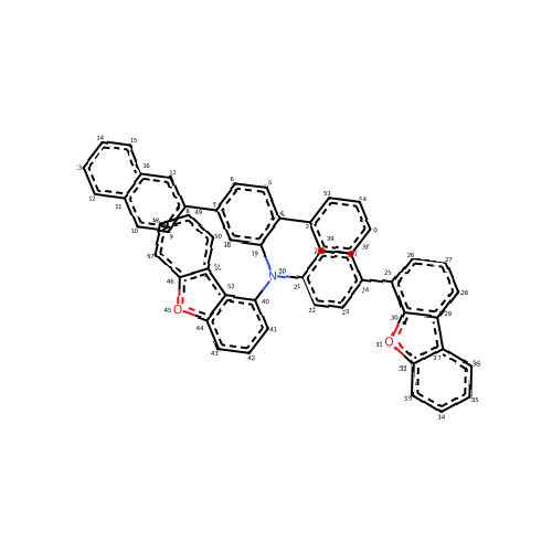 c1ccc(-c2ccc(-c3ccc4ccccc4c3)cc2N(c2ccc(-c3cccc4c3oc3ccccc34)cc2)c2cccc3oc4ccccc4c23)cc1